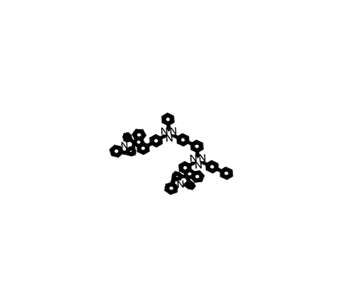 c1ccc(-c2ccc(-c3nc(-c4cccc(-c5ccc(-c6nc(-c7ccccc7)nc(-c7ccc(-c8cccc9c8-c8ccccc8C98c9ccccc9-n9c%10ccccc%10c%10cccc8c%109)cc7)n6)cc5)c4)nc(-c4cccc5c4-c4ccccc4C54c5ccccc5-n5c6ccccc6c6cccc4c65)n3)cc2)cc1